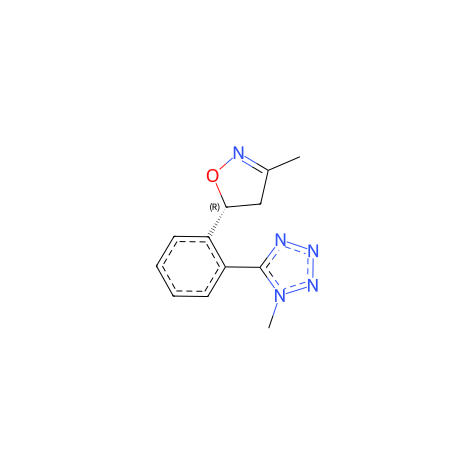 CC1=NO[C@@H](c2ccccc2-c2nnnn2C)C1